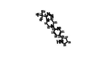 FC(F)(F)c1nnc2n1CCN(c1ccc(C3CCCN3)cn1)C2